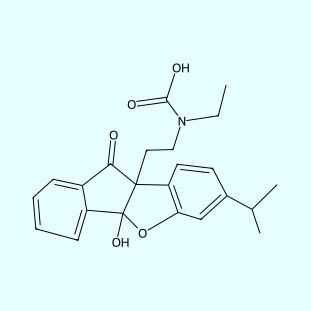 CCN(CCC12C(=O)c3ccccc3C1(O)Oc1cc(C(C)C)ccc12)C(=O)O